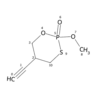 C#CC1COP(=O)(OC)SC1